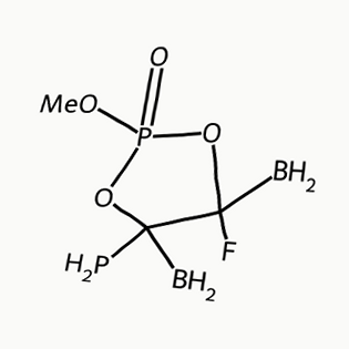 BC1(F)OP(=O)(OC)OC1(B)P